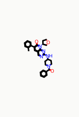 Cc1ccccc1-c1cc2cnc(NC3CCN(C(=O)c4ccccc4)CC3)nc2n([C@@H]2CCOC2)c1=O